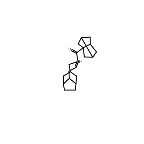 C=CCC1C2CCC1CC(CNC(=O)C13CC4CC1CC4C3)C2